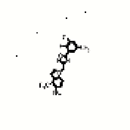 [C-]#[N+]c1ccc2c(ccn2Cc2noc(-c3cc(C(F)(F)F)cc(Cl)c3F)n2)c1C(F)(F)F